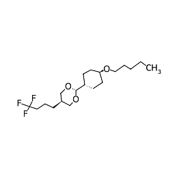 CCCCCO[C@H]1CC[C@H]([C@H]2OC[C@H](CCCC(F)(F)F)CO2)CC1